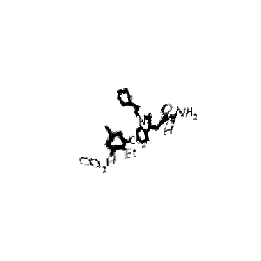 CCc1c(C(=O)O)cc(C)cc1C(=O)O.NNC(=O)Cc1cn(CCc2ccccc2)c2ccccc12